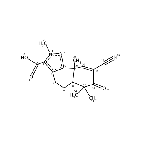 Cn1nc2c(c1C(=O)O)CCC1C(C)(C)C(=O)C(C#N)=CC21C